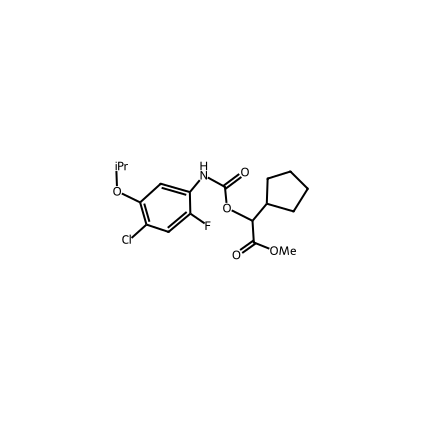 COC(=O)C(OC(=O)Nc1cc(OC(C)C)c(Cl)cc1F)C1CCCC1